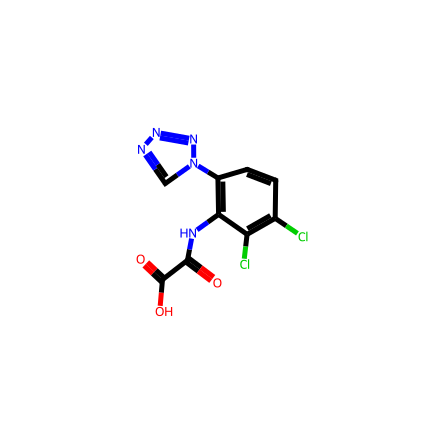 O=C(O)C(=O)Nc1c(-n2cnnn2)ccc(Cl)c1Cl